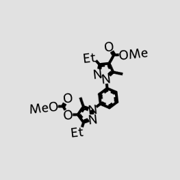 CCc1nn(-c2cccc(-n3nc(CC)c(C(=O)OC)c3C)c2)c(C)c1OC(=O)OC